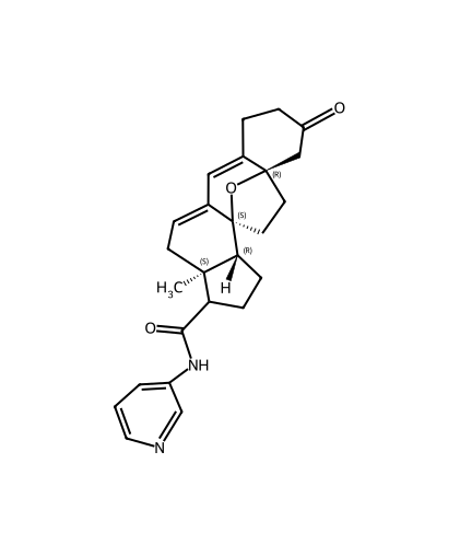 C[C@]12CC=C3C=C4CCC(=O)C[C@]45CC[C@]3(O5)[C@@H]1CCC2C(=O)Nc1cccnc1